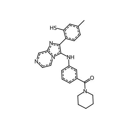 Cc1ccc(-c2nc3cnccn3c2Nc2cccc(C(=O)N3CCCCC3)c2)c(S)c1